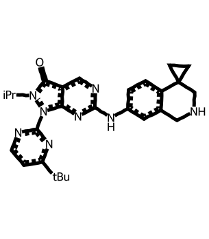 CC(C)n1c(=O)c2cnc(Nc3ccc4c(c3)CNCC43CC3)nc2n1-c1nccc(C(C)(C)C)n1